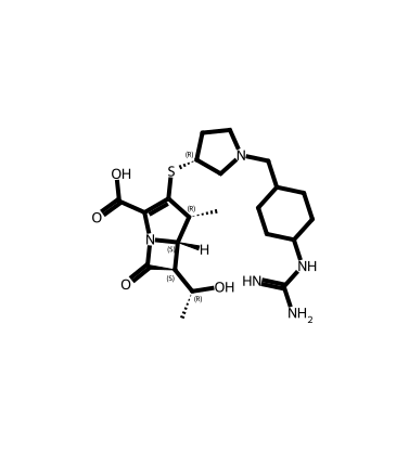 C[C@@H](O)[C@H]1C(=O)N2C(C(=O)O)=C(S[C@@H]3CCN(CC4CCC(NC(=N)N)CC4)C3)[C@H](C)[C@H]12